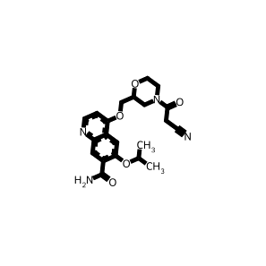 CC(C)Oc1cc2c(OCC3CN(C(=O)CC#N)CCO3)ccnc2cc1C(N)=O